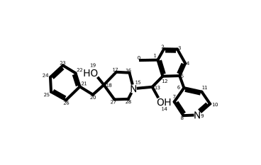 Cc1cccc(-c2ccncc2)c1C(O)N1CCC(O)(Cc2ccccc2)CC1